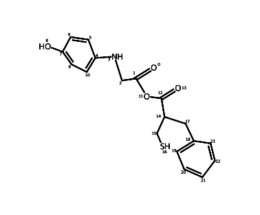 O=C(CNc1ccc(O)cc1)OC(=O)C(CS)Cc1ccccc1